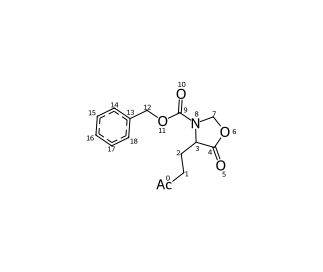 CC(=O)CCC1C(=O)OCN1C(=O)OCc1ccccc1